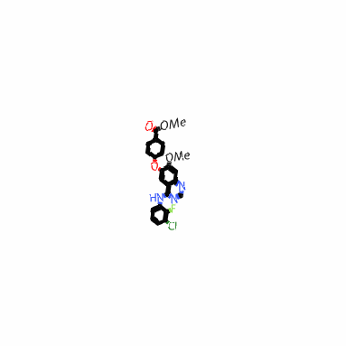 COC(=O)C1CCC(Oc2cc3c(Nc4cccc(Cl)c4F)ncnc3cc2OC)CC1